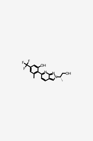 Cc1cc(C(F)(F)F)cc(O)c1-c1ccc2cn([C@@H](C)CO)nc2n1